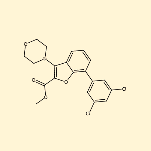 COC(=O)c1oc2c(-c3cc(Cl)cc(Cl)c3)cccc2c1N1CCOCC1